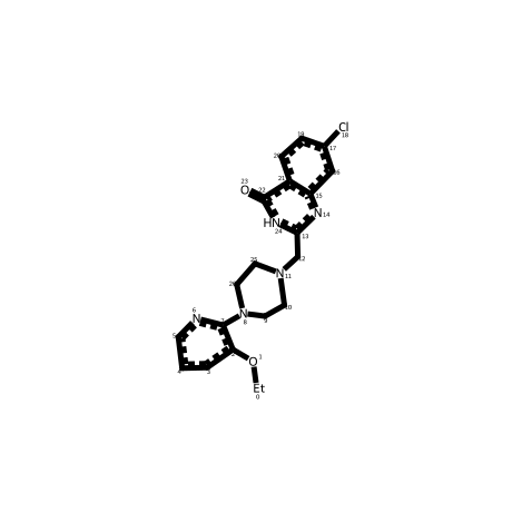 CCOc1cccnc1N1CCN(Cc2nc3cc(Cl)ccc3c(=O)[nH]2)CC1